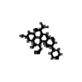 CN(C)C(=O)c1cc(C(CO)N(C)c2cccc(F)c2)c2nc(N3CCOCC3)cnc2c1